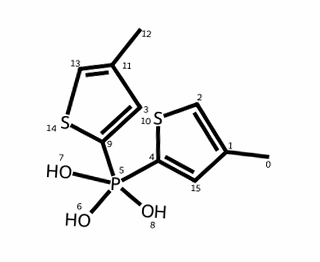 Cc1csc(P(O)(O)(O)c2cc(C)cs2)c1